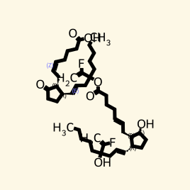 C=C(F)C(O)(CC=C[C@H]1CC[C@H](O)[C@@H]1CC=CCCCC(=O)OC(C/C=C/[C@H]1CCC(=O)[C@@H]1C/C=C\CCCC(=O)O)(CCCCC)C(=C)F)CCCCC